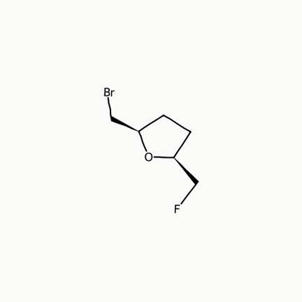 FC[C@@H]1CC[C@H](CBr)O1